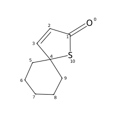 O=C1C=CC2(CCCCC2)S1